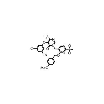 COc1ccc(COc2nc(S(C)(=O)=O)ncc2Cn2cnc(C(F)(F)F)c(Oc3cc(Cl)cc(C#N)c3)c2=O)cc1